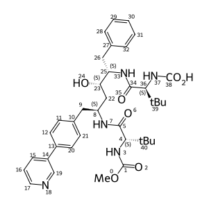 COC(=O)N[C@H](C(=O)N[C@@H](Cc1ccc(-c2cccnc2)cc1)C[C@H](O)[C@H](Cc1ccccc1)NC(=O)[C@@H](NC(=O)O)C(C)(C)C)C(C)(C)C